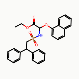 CCOC(=O)C(NS(=O)(=O)CC(c1ccccc1)c1ccccc1)Oc1cccc2ccccc12